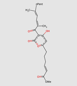 CCCCCC(C)=C/C=C(\C)C(=O)c1c(O)cc(CCC/C=C/C(=O)OC)oc1=O